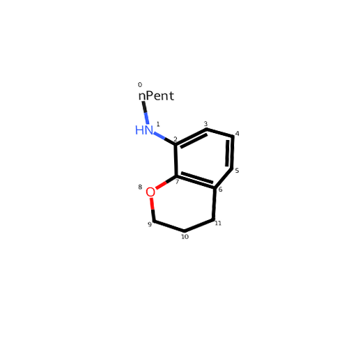 CCCCCNc1cccc2c1OCCC2